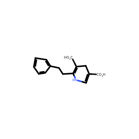 O=C(O)C1=CNC(CCc2ccccc2)=C(C(=O)O)C1